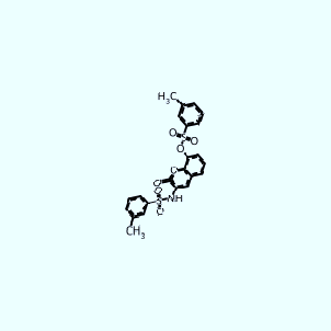 Cc1cccc(S(=O)(=O)Nc2cc3cccc(OS(=O)(=O)c4cccc(C)c4)c3oc2=O)c1